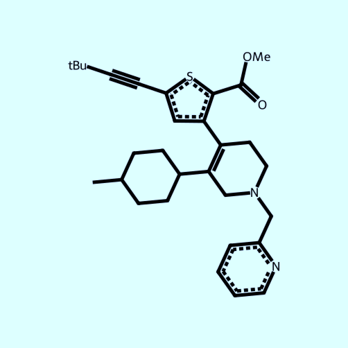 COC(=O)c1sc(C#CC(C)(C)C)cc1C1=C(C2CCC(C)CC2)CN(Cc2ccccn2)CC1